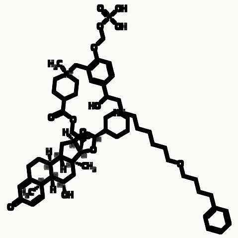 C[C@]12C=CC(=O)C=C1CC[C@@H]1[C@@H]2[C@@H](O)C[C@@]2(C)[C@H]1C[C@H]1O[C@@H](C3CCCCC3)O[C@]12C(=O)COC(=O)C1CC[N+](C)(Cc2cc(C(O)CNCCCCCCOCCCCc3ccccc3)ccc2OCOP(=O)(O)O)CC1